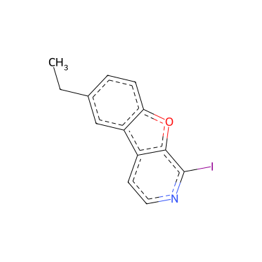 CCc1ccc2oc3c(I)nccc3c2c1